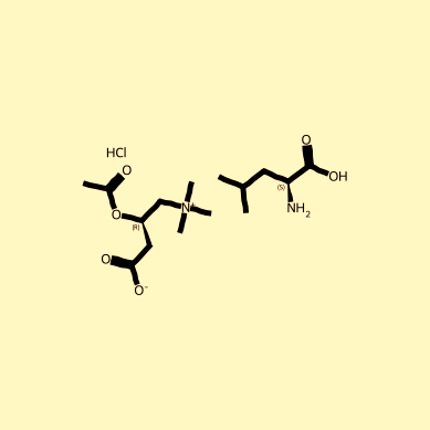 CC(=O)O[C@H](CC(=O)[O-])C[N+](C)(C)C.CC(C)C[C@H](N)C(=O)O.Cl